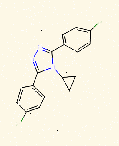 Brc1ccc(-c2nnc(-c3ccc(Br)cc3)n2C2CC2)cc1